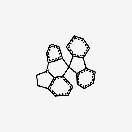 c1ccc2c(c1)-c1ccccc1C21c2ccccc2N2CCc3cccc1c32